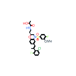 COc1cc(S(=O)(=O)N2C[C@H](CCNC(=O)C(C)O)Oc3ccc(/C=C(\C)c4c(F)cccc4Cl)cc32)ccc1F